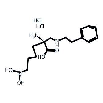 Cl.Cl.N[C@@](CCCCB(O)O)(CNCCc1ccccc1)C(=O)O